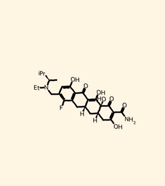 CCN(Cc1cc(O)c2c(c1F)C[C@H]1C[C@H]3CC(O)=C(C(N)=O)C(=O)[C@@]3(O)C(O)=C1C2=O)[C@H](C)C(C)C